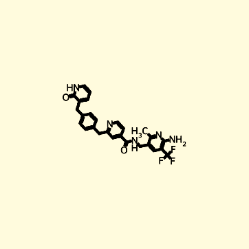 Cc1nc(N)c(C(F)(F)F)cc1CNC(=O)c1ccnc(Cc2ccc(Cc3ccc[nH]c3=O)cc2)c1